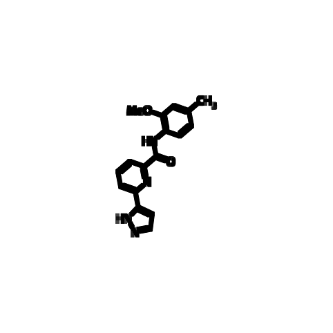 COc1cc(C)ccc1NC(=O)c1cccc(-c2ccn[nH]2)n1